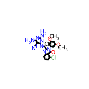 COc1cc(OC)cc(-n2c(C(C)Nc3nc(N)nc(N)c3C#N)nc3cccc(Cl)c3c2=O)c1